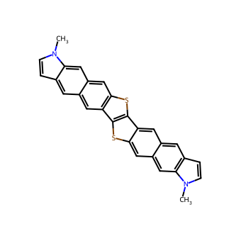 Cn1ccc2cc3cc4c(cc3cc21)sc1c2cc3cc5ccn(C)c5cc3cc2sc41